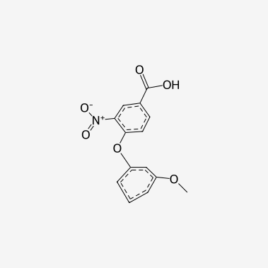 COc1cccc(Oc2ccc(C(=O)O)cc2[N+](=O)[O-])c1